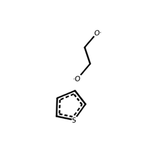 [O]CC[O].c1ccsc1